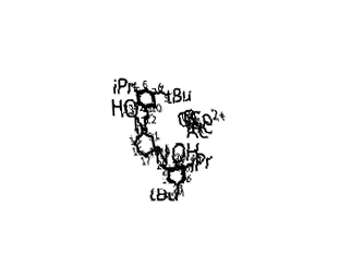 CC(=O)[O-].CC(=O)[O-].CC(C)c1cc(CC(C)(C)C)cc(C=NC2CCCC(N=Cc3cc(CC(C)(C)C)cc(C(C)C)c3O)C2)c1O.[Co+2]